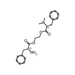 CN(C)[C@@H](Cc1ccccc1)C(=O)OCCOC(=O)[C@@H](N)Cc1ccccc1